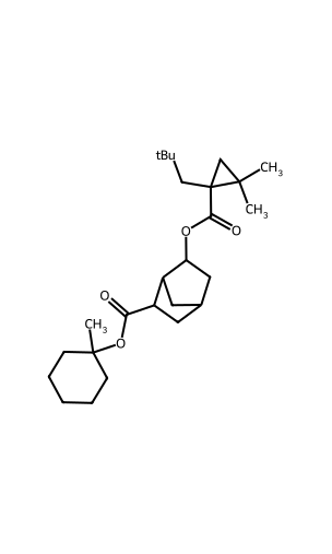 CC(C)(C)CC1(C(=O)OC2CC3CC(C(=O)OC4(C)CCCCC4)C2C3)CC1(C)C